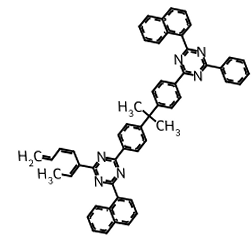 C=C/C=C\C(=C/C)c1nc(-c2ccc(C(C)(C)c3ccc(-c4nc(-c5ccccc5)nc(-c5cccc6ccccc56)n4)cc3)cc2)nc(-c2cccc3ccccc23)n1